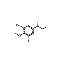 C=C(CC)c1cc(F)c(OC)c(Br)c1